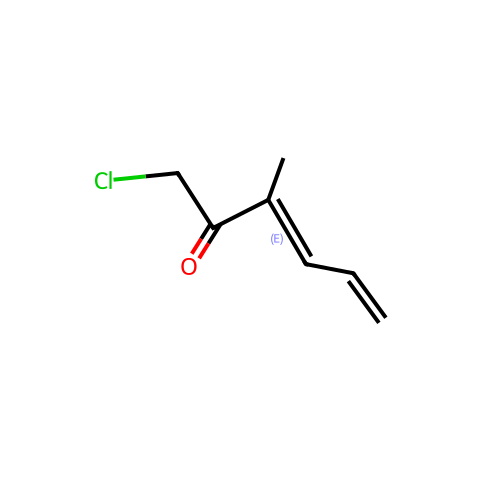 C=C/C=C(\C)C(=O)CCl